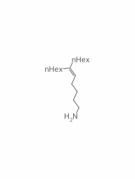 CCCCCCC(=CCCCCN)CCCCCC